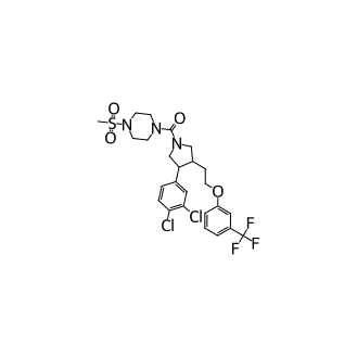 CS(=O)(=O)N1CCN(C(=O)N2CC(CCOc3cccc(C(F)(F)F)c3)C(c3ccc(Cl)c(Cl)c3)C2)CC1